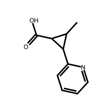 CC1C(C(=O)O)C1c1ccccn1